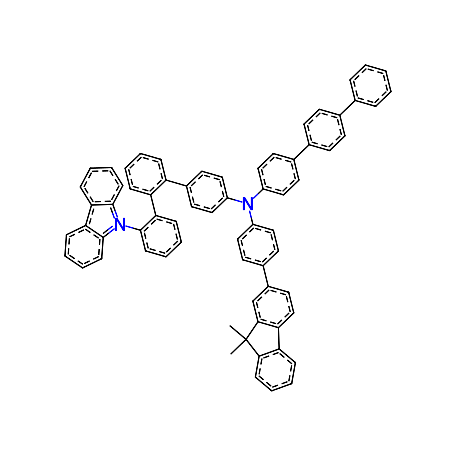 CC1(C)c2ccccc2-c2ccc(-c3ccc(N(c4ccc(-c5ccc(-c6ccccc6)cc5)cc4)c4ccc(-c5ccccc5-c5ccccc5-n5c6ccccc6c6ccccc65)cc4)cc3)cc21